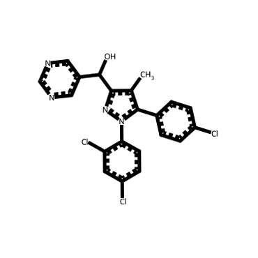 Cc1c(C(O)c2cncnc2)nn(-c2ccc(Cl)cc2Cl)c1-c1ccc(Cl)cc1